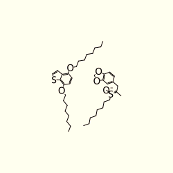 CCCCCCCCOc1ccc(OCCCCCCCC)c2sccc12.CCCCCCCC[S+]([O-])C(C)Cc1ccc2c(c1)OCO2